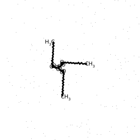 CCCCCCCCCCCCCCCCCC1OCC(COP(=O)(OCC2COC(CCCCCCCCCCCCCCCCC)O2)OCC2COC(CCCCCCCCCCCCCCCCC)O2)O1